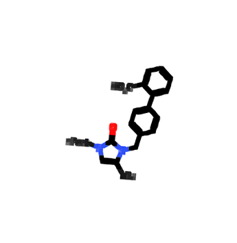 CCCCCn1cc(CCCC)n(Cc2ccc(-c3ccccc3C(=O)O)cc2)c1=O